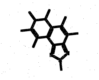 CC1=C(C)C(C)C(C)c2c(C)c(C)c3nn(C)nc3c21